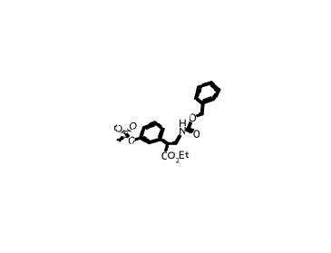 CCOC(=O)C(CNC(=O)OCc1ccccc1)c1cccc(OS(C)(=O)=O)c1